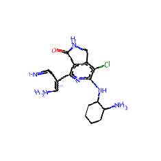 N=C/C(=C\N)c1nc(NC2CCCCC2N)c(Cl)c2c1C(=O)NC2